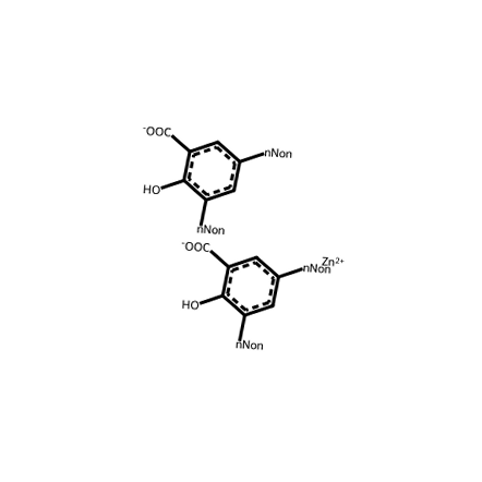 CCCCCCCCCc1cc(CCCCCCCCC)c(O)c(C(=O)[O-])c1.CCCCCCCCCc1cc(CCCCCCCCC)c(O)c(C(=O)[O-])c1.[Zn+2]